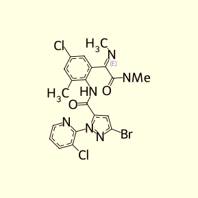 C/N=C(/C(=O)NC)c1cc(Cl)cc(C)c1NC(=O)c1cc(Br)nn1-c1ncccc1Cl